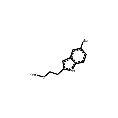 CC(C)(C)c1ccc2[nH]c(CCOC=O)cc2c1